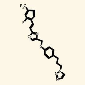 Fc1cc(C(F)(F)F)ccc1/C=C/c1nc(CSc2ccc(CCCn3ccnn3)cc2)co1